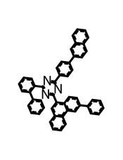 c1ccc(-c2ccc3c(-c4nc(-c5ccc(-c6ccc7ccccc7c6)cc5)nc(-c5ccccc5-c5ccccc5)n4)cc4ccccc4c3c2)cc1